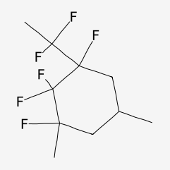 CC1CC(C)(F)C(F)(F)C(F)(C(C)(F)F)C1